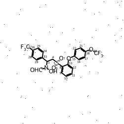 O=CN(O)C(CS(=O)(=O)c1ccccc1Oc1ccc(OC(F)(F)F)cc1)c1ccc(C(F)(F)F)cc1